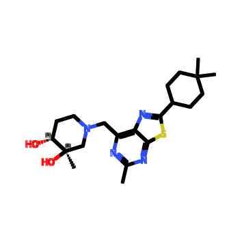 Cc1nc(CN2CC[C@@H](O)[C@](C)(O)C2)c2nc(C3CCC(C)(C)CC3)sc2n1